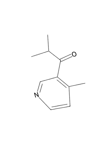 Cc1ccncc1C(=O)C(C)C